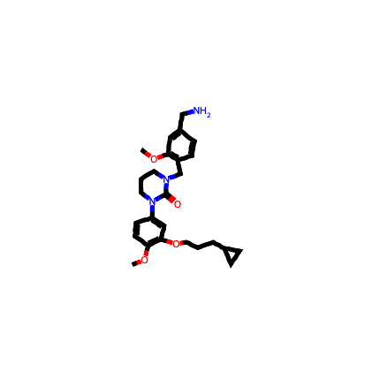 COc1cc(CN)ccc1CN1CCCN(c2ccc(OC)c(OCCCC3CC3)c2)C1=O